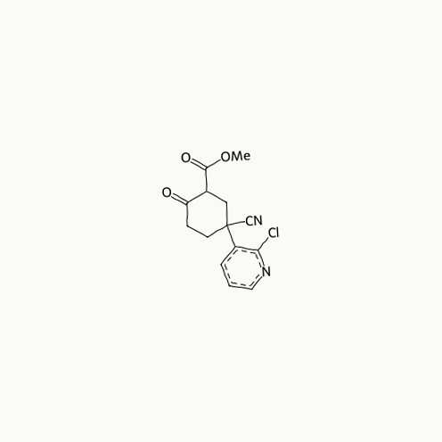 COC(=O)C1CC(C#N)(c2cccnc2Cl)CCC1=O